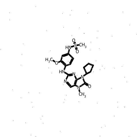 COc1cc(NS(C)(=O)=O)ccc1Nc1ncc2c(n1)n(C1CCCC1)c(=O)n2C